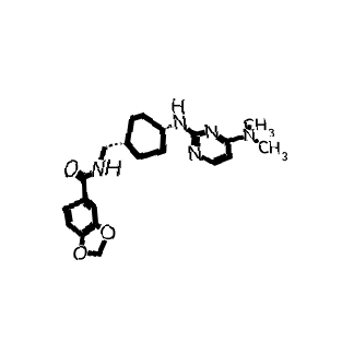 CN(C)c1ccnc(N[C@H]2CC[C@@H](CNC(=O)c3ccc4c(c3)OCO4)CC2)n1